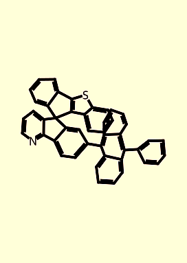 c1ccc(-c2c3ccccc3c(-c3ccc4c(c3)C3(c5ccccc5-c5sc6ccccc6c53)c3cccnc3-4)c3ccccc23)cc1